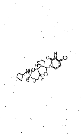 O=c1ccn([C@@H]2O[C@]3(F)CO[P@](=O)(NC4CCC4)O[C@H]3[C@]23CCS3)c(=O)[nH]1